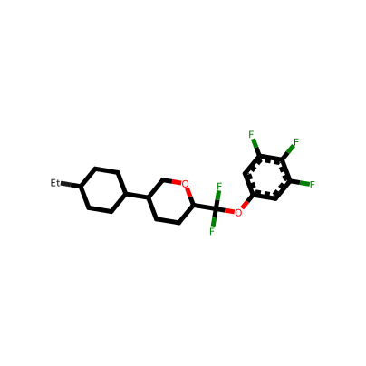 CCC1CCC(C2CCC(C(F)(F)Oc3cc(F)c(F)c(F)c3)OC2)CC1